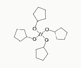 C1CCC([O][Zr]([O]C2CCCC2)([O]C2CCCC2)[O]C2CCCC2)C1